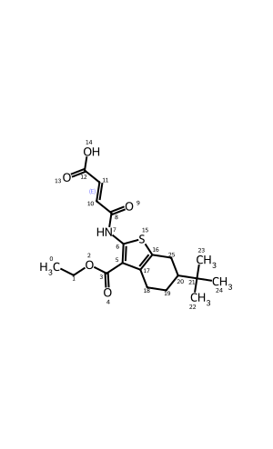 CCOC(=O)c1c(NC(=O)/C=C/C(=O)O)sc2c1CCC(C(C)(C)C)C2